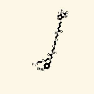 [N-]=[N+]=Nc1ccc(CN(CCOCCN)CC(=O)NCCOCCOCCNC(=O)CCCC[C@@H]2SC[C@@H]3NC(=O)NC32)cc1